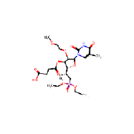 CCOP(=O)(C[C@H](C)[C@H]1OC(n2cc(C)c(=O)[nH]c2=O)[C@H](OCCOC)[C@@H]1OC(=O)CCC(=O)O)OCC